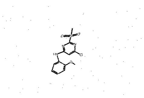 COc1ccccc1Nc1cc(Cl)nc(S(C)(=O)=O)n1